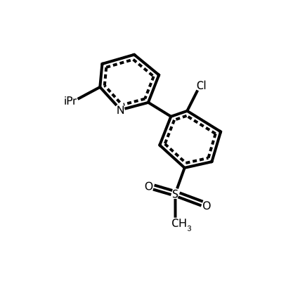 CC(C)c1cccc(-c2cc(S(C)(=O)=O)ccc2Cl)n1